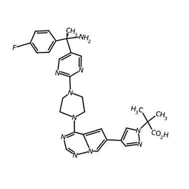 CC(C)(C(=O)O)n1cc(-c2cc3c(N4CCN(c5ncc([C@@](C)(N)c6ccc(F)cc6)cn5)CC4)ncnn3c2)cn1